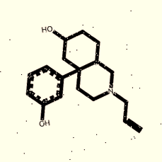 C=CCN1CCC2(c3cccc(O)c3)CC(O)CCC2C1